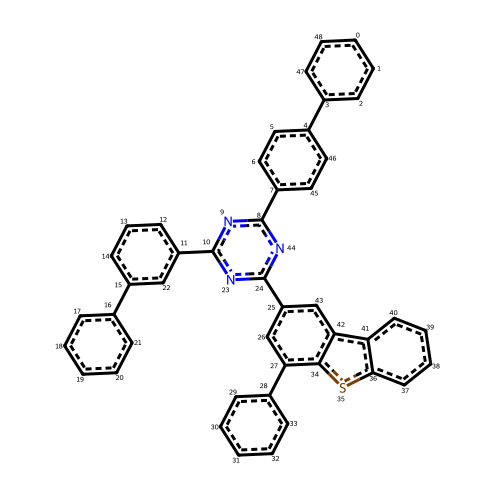 c1ccc(-c2ccc(-c3nc(-c4cccc(-c5ccccc5)c4)nc(-c4cc(-c5ccccc5)c5sc6ccccc6c5c4)n3)cc2)cc1